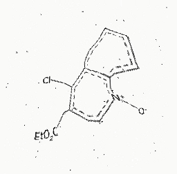 CCOC(=O)c1c[n+]([O-])c2ccccc2c1Cl